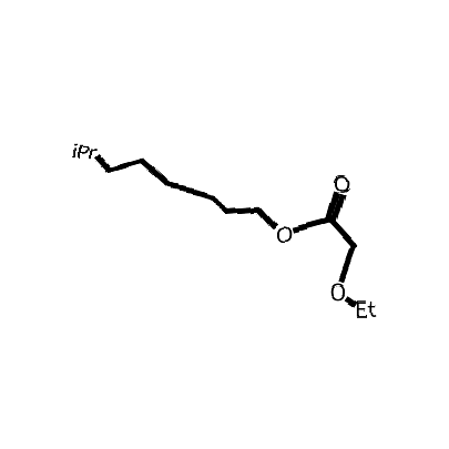 CCOCC(=O)OCCCCCCC(C)C